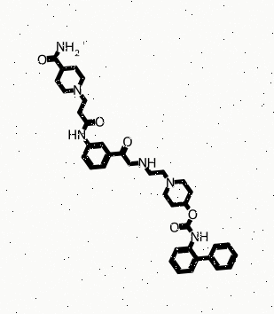 NC(=O)C1CCN(CCC(=O)Nc2cccc(C(=O)CNCCN3CCC(OC(=O)Nc4ccccc4-c4ccccc4)CC3)c2)CC1